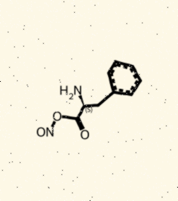 N[C@@H](Cc1ccccc1)C(=O)ON=O